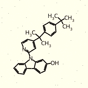 CC(C)(C)c1ccc(C(C)(C)c2ccnc(-n3c4ccccc4c4ccc(O)cc43)c2)cc1